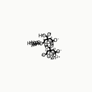 O.O.O.O=C([O-])CC(O)(CC(=O)O)C(=O)O.O=C([O-])CC(O)(CC(=O)[O-])C(=O)[O-].[Zn+2].[Zn+2]